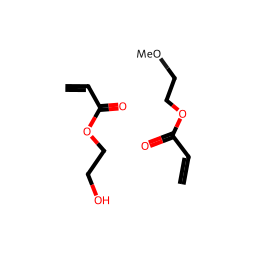 C=CC(=O)OCCO.C=CC(=O)OCCOC